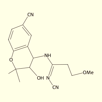 COCCC(=NC#N)NC1c2cc(C#N)ccc2OC(C)(C)C1O